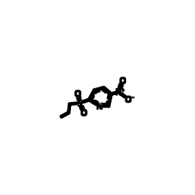 CCCS(=O)(=O)c1ccc([N+](=O)[O-])cn1